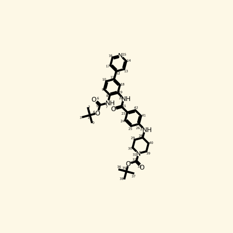 CC(C)(C)OC(=O)Nc1ccc(-c2ccncc2)cc1NC(=O)c1ccc(NC2CCN(C(=O)OC(C)(C)C)CC2)cc1